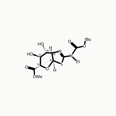 CCN(C(=O)OC(C)(C)C)C1=N[C@@H]2[C@@H](O)[C@H](O)[C@@H](C(=O)OC)O[C@@H]2S1